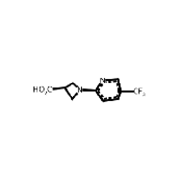 O=C(O)C1CN(c2ccc(C(F)(F)F)cn2)C1